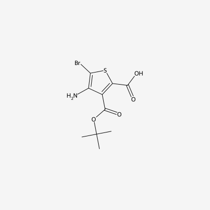 CC(C)(C)OC(=O)c1c(C(=O)O)sc(Br)c1N